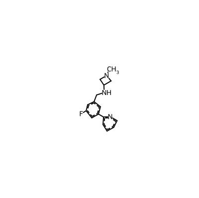 CN1CC(NCc2cc(F)cc(-c3ccccn3)c2)C1